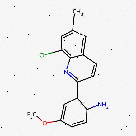 Cc1cc(Cl)c2nc(C3C=C(OC(F)(F)F)C=CC3N)ccc2c1